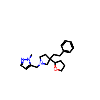 Cn1nccc1CN1CCC(CCc2ccccc2)(C2CCCO2)C1